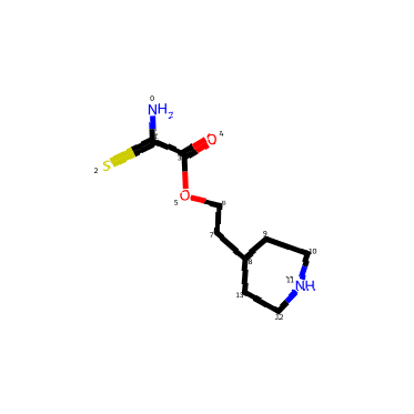 NC(=S)C(=O)OCCC1CCNCC1